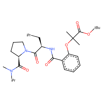 CC(C)C[C@@H](NC(=O)c1ccccc1OC(C)(C)C(=O)OC(C)(C)C)C(=O)N1CCC[C@@H]1C(=O)N(C)C(C)C